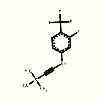 C[Si](C)(C)C#CNc1ccc(C(F)(F)F)c(F)c1